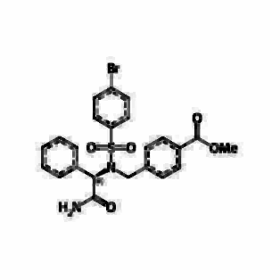 COC(=O)c1ccc(CN([C@@H](C(N)=O)c2ccccc2)S(=O)(=O)c2ccc(Br)cc2)cc1